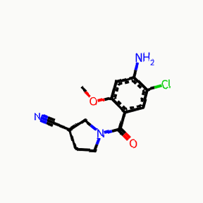 COc1cc(N)c(Cl)cc1C(=O)N1CCC(C#N)C1